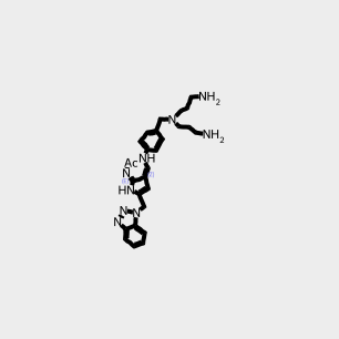 CC(=O)/N=C1/NC(Cn2nnc3ccccc32)=C/C1=C/Nc1ccc(CN(CCCN)CCCN)cc1